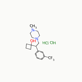 CN1CCN(CC(c2cccc(C(F)(F)F)c2)C2(O)CCC2)CC1.Cl.Cl